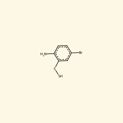 Nc1ccc(Br)cc1SS